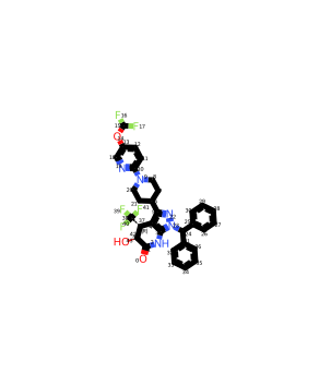 O=C1Nc2c(c(C3CCN(c4ccc(OC(F)F)cn4)CC3)nn2C(c2ccccc2)c2ccccc2)[C@@H](C(F)(F)F)[C@H]1O